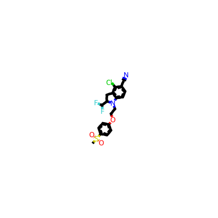 CS(=O)(=O)c1ccc(OCCN2c3ccc(C#N)c(Cl)c3CC2C(F)F)cc1